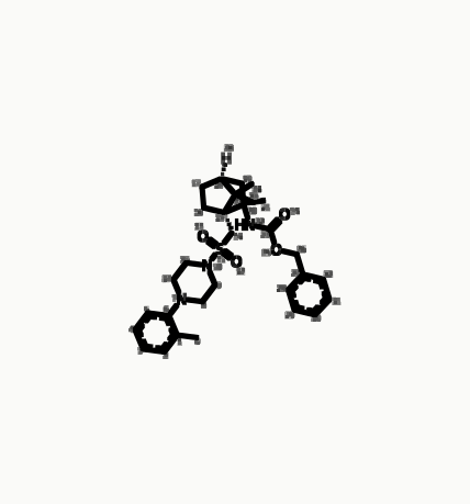 Cc1ccccc1N1CCN(S(=O)(=O)C[C@@]23CC[C@@H](C[C@]2(C)NC(=O)OCc2ccccc2)C3(C)C)CC1